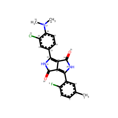 Cc1ccc(F)c(C2=C3C(=O)NC(c4ccc(N(C)C)c(Cl)c4)=C3C(=O)N2)c1